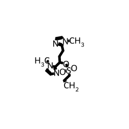 C=CCS(=O)(=O)OC(CCc1nccn1C)c1nccn1C